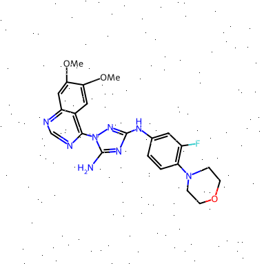 COc1cc2ncnc(-n3nc(Nc4ccc(N5CCOCC5)c(F)c4)nc3N)c2cc1OC